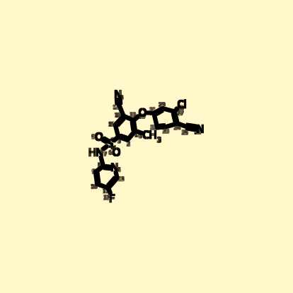 Cc1cc(S(=O)(=O)Nc2ccc(F)cn2)cc(C#N)c1Oc1ccc(C#N)c(Cl)c1